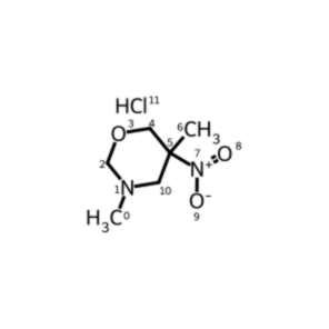 CN1COCC(C)([N+](=O)[O-])C1.Cl